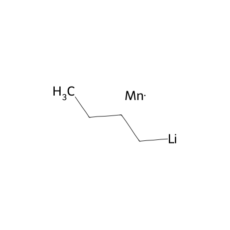 [Li][CH2]CCC.[Mn]